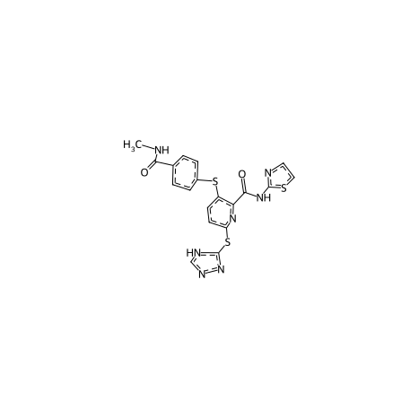 CNC(=O)c1ccc(Sc2ccc(Sc3nnc[nH]3)nc2C(=O)Nc2nccs2)cc1